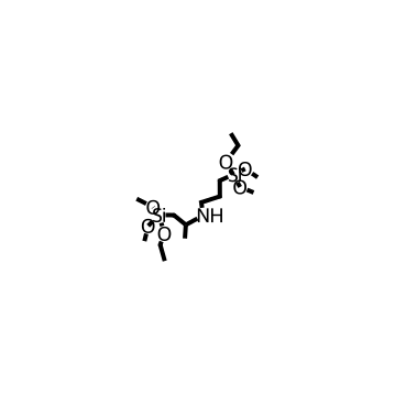 CCO[Si](CCCNC(C)C[Si](OC)(OC)OCC)(OC)OC